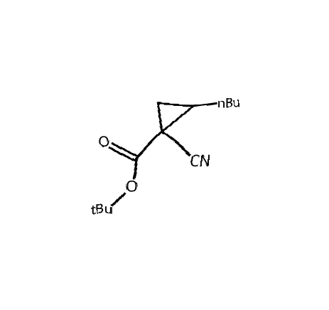 CCCCC1CC1(C#N)C(=O)OC(C)(C)C